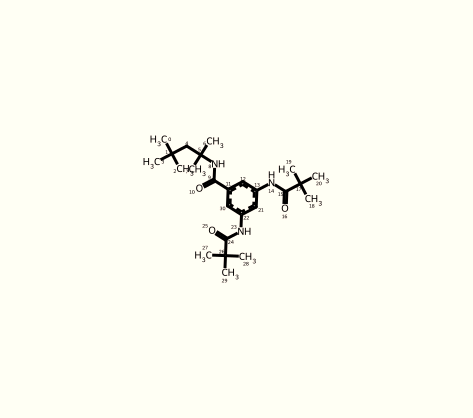 CC(C)(C)CC(C)(C)NC(=O)c1cc(NC(=O)C(C)(C)C)cc(NC(=O)C(C)(C)C)c1